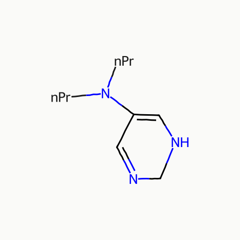 CCCN(CCC)C1=CNCN=C1